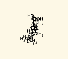 C=C1C(=CC=C2CCC[C@]3(C)C([C@H](C)OCC(=O)OC(C)(C)C(C)C)=CC[C@@H]23)C[C@@H](O)C[C@@H]1O